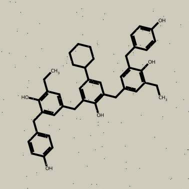 CCc1cc(Cc2cc(C3CCCCC3)cc(Cc3cc(CC)c(O)c(Cc4ccc(O)cc4)c3)c2O)cc(Cc2ccc(O)cc2)c1O